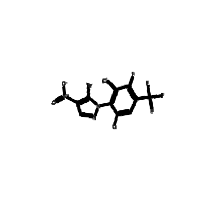 O=[N+]([O-])c1cnn(-c2c(Cl)cc(C(F)(F)F)c(F)c2Cl)c1Br